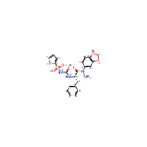 CN(C(=O)[C@H](Cc1ccccc1)NC(=O)NS(=O)(=O)c1cccs1)c1ccc2c(c1)OCO2